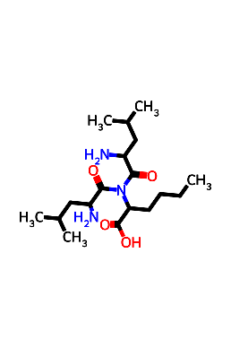 CCCCC(C(=O)O)N(C(=O)C(N)CC(C)C)C(=O)C(N)CC(C)C